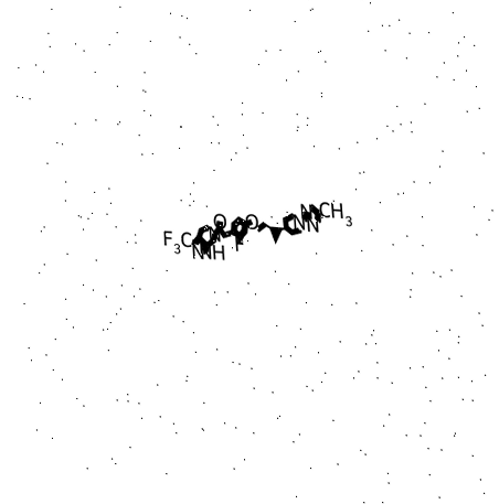 Cc1cnc(N2CCC([C@H]3C[C@H]3CCOc3ccc(CC(=O)N4CCc5c(C(F)(F)F)n[nH]c5C4)c(F)c3)CC2)nc1